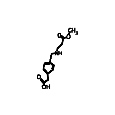 COC(=O)CCNCc1ccc(CC(=O)O)cc1